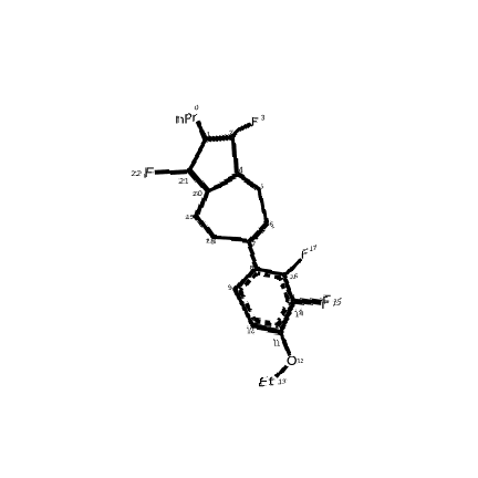 CCCC1C(F)C2CCC(c3ccc(OCC)c(F)c3F)CCC2C1F